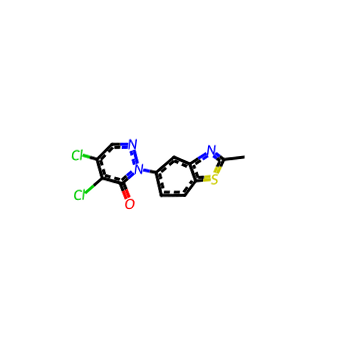 Cc1nc2cc(-n3ncc(Cl)c(Cl)c3=O)ccc2s1